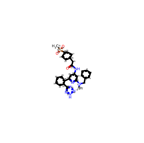 CCCN(Cc1ccccc1)c1cc(NC(=O)Cc2ccc(S(C)(=O)=O)cc2)cc(-c2ccccc2-c2nn[nH]n2)n1